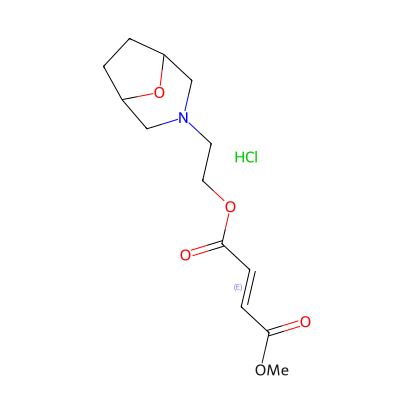 COC(=O)/C=C/C(=O)OCCN1CC2CCC(C1)O2.Cl